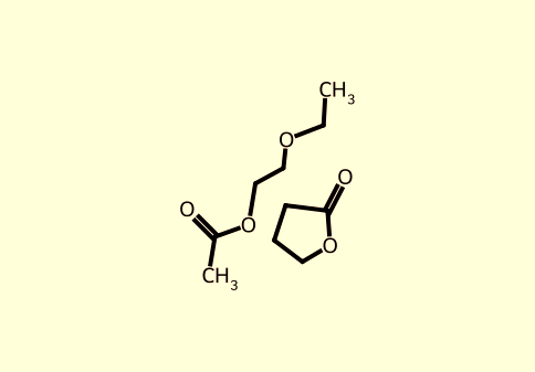 CCOCCOC(C)=O.O=C1CCCO1